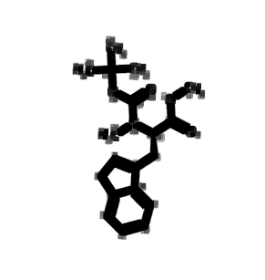 COC(=O)[C@@H](CC1=CCc2ccccc21)N(C)C(=O)OC(C)(C)C